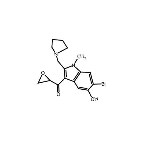 Cn1c(CN2CCCC2)c(C(=O)C2CO2)c2cc(O)c(Br)cc21